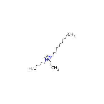 CCCCCCCCCCCn1cc[n+](CCCCC)c1CCC